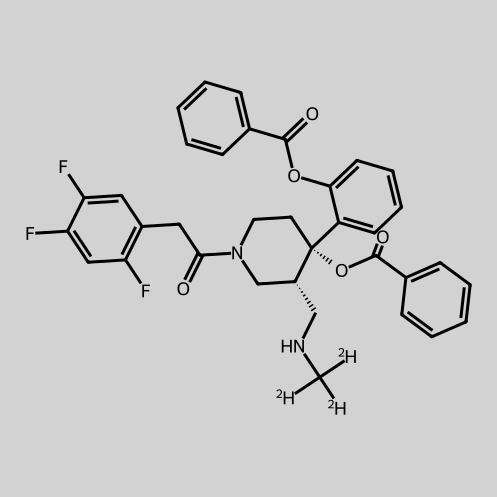 [2H]C([2H])([2H])NC[C@@H]1CN(C(=O)Cc2cc(F)c(F)cc2F)CC[C@@]1(OC(=O)c1ccccc1)c1ccccc1OC(=O)c1ccccc1